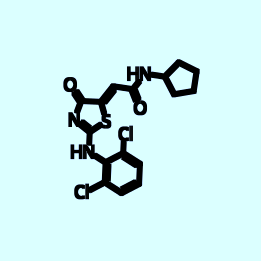 O=C(C=C1SC(Nc2c(Cl)cccc2Cl)=NC1=O)NC1CCCC1